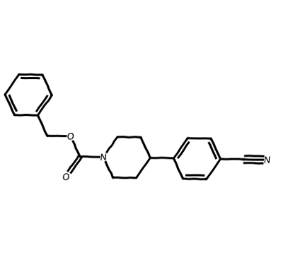 N#Cc1ccc(C2CCN(C(=O)OCc3ccccc3)CC2)cc1